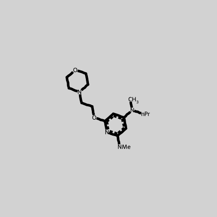 CCCN(C)c1cc(NC)nc(OCCN2CCOCC2)c1